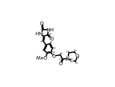 COc1cc(C=C2NC(=O)NC2=O)ccc1OCC(=O)N1CCOCC1